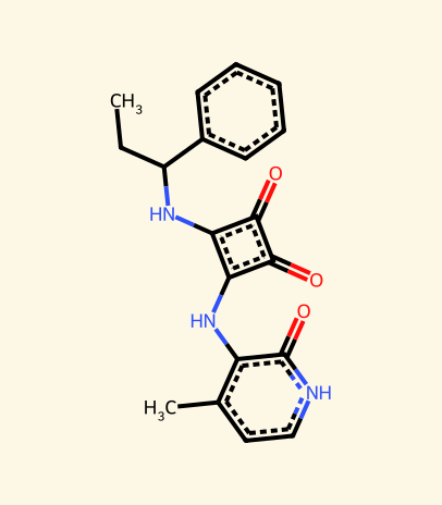 CCC(Nc1c(Nc2c(C)cc[nH]c2=O)c(=O)c1=O)c1ccccc1